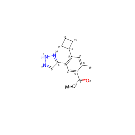 COC(=O)c1cc(-c2cn[nH]n2)c(C2CCC2)cc1C